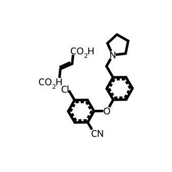 N#Cc1ccc(Cl)cc1Oc1cccc(CN2CCCC2)c1.O=C(O)C=CC(=O)O